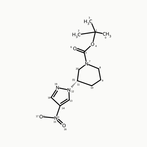 CC(C)(C)OC(=O)N1CCC[C@H](n2cc([N+](=O)[O-])cn2)C1